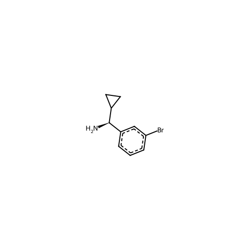 N[C@H](c1cccc(Br)c1)C1CC1